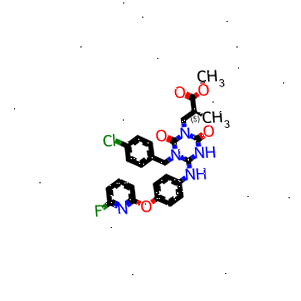 COC(=O)[C@@H](C)CN1C(=O)NC(Nc2ccc(Oc3cccc(F)n3)cc2)N(Cc2ccc(Cl)cc2)C1=O